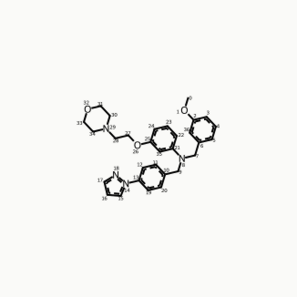 COc1cccc(CN(Cc2ccc(-n3cccn3)cc2)c2cccc(OCCN3CCOCC3)c2)c1